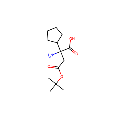 CC(C)(C)OC(=O)CC(N)(C(=O)O)C1CCCC1